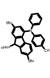 CCCCCCC1c2cc(C(C)(C)C)ccc2-c2c1cc(C(C)(C)C)cc2N(c1ccccc1)c1ccc(C)cc1